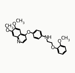 COc1cc2nccc(Oc3ccc(NCCOc4ccccc4OC)cc3)c2cc1OC